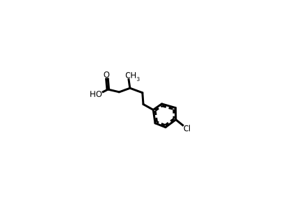 CC(CCc1ccc(Cl)cc1)CC(=O)O